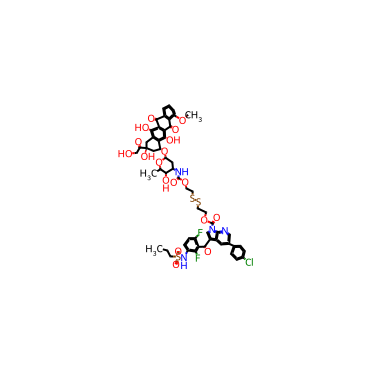 CCCS(=O)(=O)Nc1ccc(F)c(C(=O)c2cn(C(=O)OCCSSCCOC(=O)NC3CC(O[C@H]4C[C@](O)(C(=O)CO)Cc5c(O)c6c(c(O)c54)C(=O)c4c(OC)cccc4C6=O)OC(C)C3O)c3ncc(-c4ccc(Cl)cc4)cc23)c1F